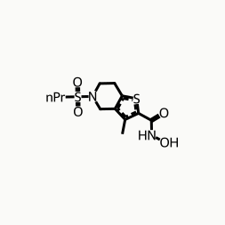 CCCS(=O)(=O)N1CCc2sc(C(=O)NO)c(C)c2C1